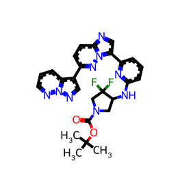 CC(C)(C)OC(=O)N1CC(Nc2cccc(-c3cnc4ccc(-c5cnn6ncccc56)nn34)n2)C(F)(F)C1